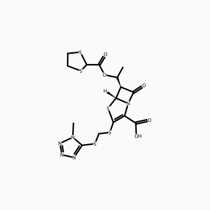 CC(OC(=O)C1SCCS1)[C@H]1C(=O)N2C(C(=O)O)=C(SCSc3nnnn3C)S[C@H]12